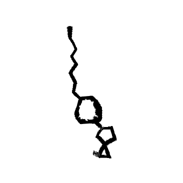 CCCCCCCCc1ccc(N2CCC3(CN3)C2)cc1